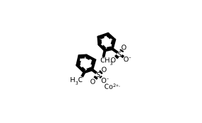 Cc1ccccc1S(=O)(=O)[O-].Cc1ccccc1S(=O)(=O)[O-].[Co+2]